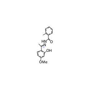 COc1ccc(/C(C)=N/NC(=O)c2ccccc2C)c(O)c1